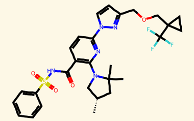 C[C@@H]1CN(c2nc(-n3ccc(COCC4(C(F)(F)F)CC4)n3)ccc2C(=O)NS(=O)(=O)c2ccccc2)C(C)(C)C1